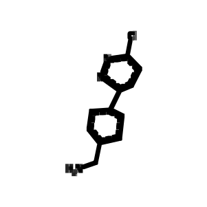 NCc1ccc(-c2ccc(Cl)nn2)cc1